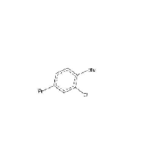 CC(C)c1ccc(C(C)(C)C)c(Cl)c1